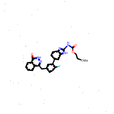 COCCOC(=O)Nc1nc2ccc(-c3cc(Cc4n[nH]c(=O)c5ccccc45)ccc3F)cc2[nH]1